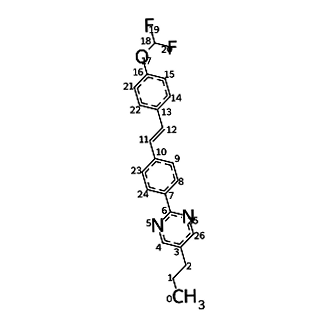 CCCc1cnc(-c2ccc(C=Cc3ccc(OC(F)F)cc3)cc2)nc1